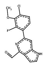 COc1c(Cl)ccc(-c2cc3[nH]ccc3c(C=O)n2)c1F